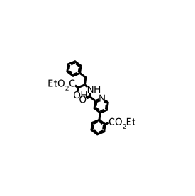 CCOC(=O)c1ccccc1-c1ccnc(C(=O)NC(Cc2ccccc2)C(O)C(=O)OCC)c1